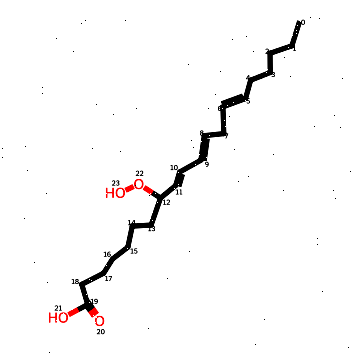 CCCCCC=CCC=CC=CC(CCCCCCC(=O)O)OO